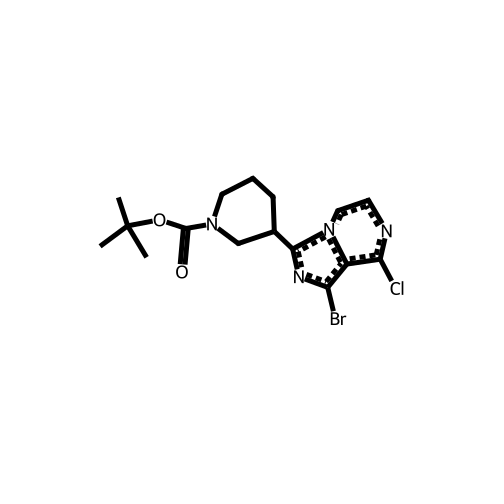 CC(C)(C)OC(=O)N1CCCC(c2nc(Br)c3c(Cl)nccn23)C1